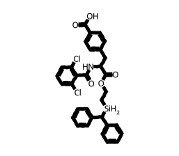 O=C(O)c1ccc(CC(NC(=O)c2c(Cl)cccc2Cl)C(=O)OCC[SiH2]C(c2ccccc2)c2ccccc2)cc1